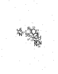 C[C@@H](SSCc1nccs1)[C@](O)(Cn1cncn1)c1cc(F)ccc1F